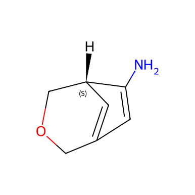 NC1=CC2=C[C@@H]1COC2